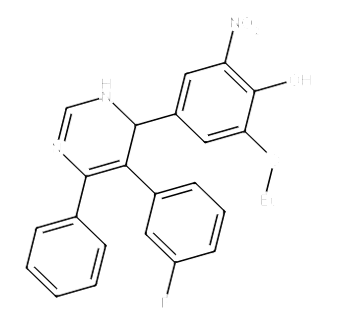 CCOc1cc(C2NC=NC(c3ccccc3)=C2c2cccc(F)c2)cc([N+](=O)[O-])c1O